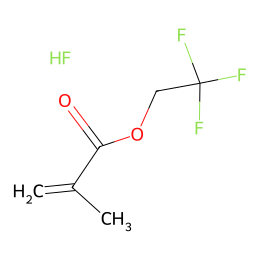 C=C(C)C(=O)OCC(F)(F)F.F